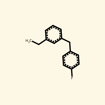 CCc1cccc(Cc2ccc(F)cc2)c1